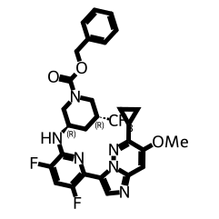 COc1cc2ncc(-c3nc(N[C@@H]4C[C@@H](C(F)(F)F)CN(C(=O)OCc5ccccc5)C4)c(F)cc3F)n2nc1C1CC1